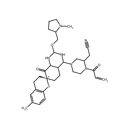 C=CC(=O)N1CCN(C2NC(OCC3CCCN3C)NC3C(=O)[C@]4(CCc5cc(C)ccc5S4)CCC32)CC1CC#N